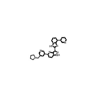 c1cncc(-c2cccc3[nH]c(-c4n[nH]c5ccc(-c6cncc(CN7CCCC7)c6)nc45)nc23)c1